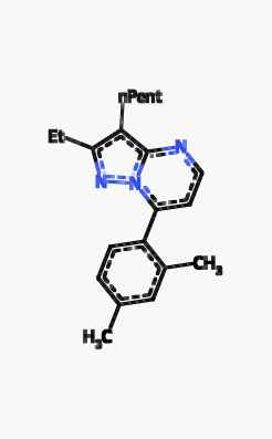 CCCCCc1c(CC)nn2c(-c3ccc(C)cc3C)ccnc12